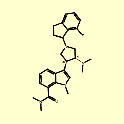 CN(C)C(=O)c1cccc2c([C@H]3CN(C4CCc5cccc(F)c54)C[C@@H]3N(C)C)cn(C)c12